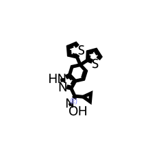 O/N=C(/c1n[nH]c2c1C=CC(c1cccs1)(c1cccs1)C2)C1CC1